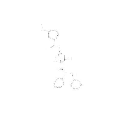 COc1cccc(C(=O)C[N+]23CCC(CC2)[C@@H](OC(=O)[C@H](Nc2ccccc2)c2ccccc2)C3)c1